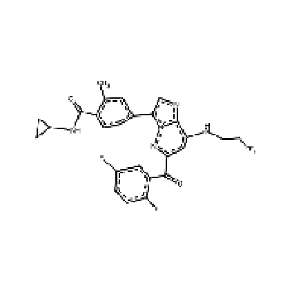 Cc1cc(-c2cnc3c(NCCC(F)(F)F)cc(C(=O)c4cc(F)ccc4F)nn23)ccc1C(=O)NC1CC1